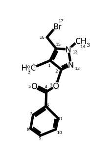 Cc1c(OC(=O)c2ccccc2)nn(C)c1CBr